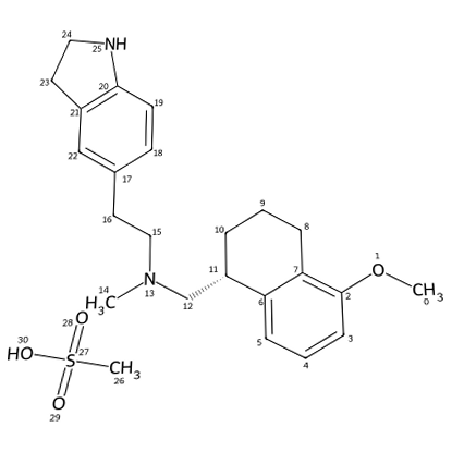 COc1cccc2c1CCC[C@H]2CN(C)CCc1ccc2c(c1)CCN2.CS(=O)(=O)O